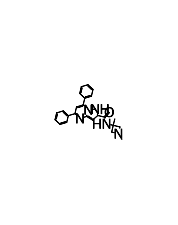 CN1CC(C)(NC(=O)C2C=C3N=C(c4ccccc4)C=C(c4ccccc4)N3N2)C1